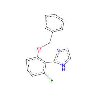 Fc1cccc(OCc2ccccc2)c1-c1ncc[nH]1